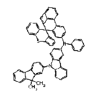 CC1(C)c2ccccc2-c2ccc(-n3c4ccccc4c4cc(N(c5ccccc5)c5ccc6c(c5)C5(c7ccccc7Sc7ccccc75)c5cccc7cccc-6c57)ccc43)cc21